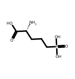 N[C@H](CCCP(=O)(O)O)C(=O)O